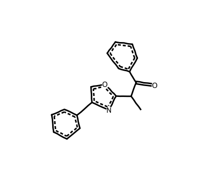 CC(C(=O)c1ccccc1)c1nc(-c2ccccc2)co1